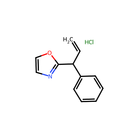 C=CC(c1ccccc1)c1ncco1.Cl